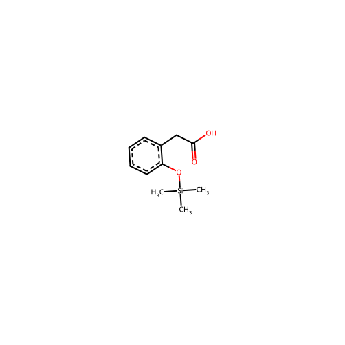 C[Si](C)(C)Oc1ccccc1CC(=O)O